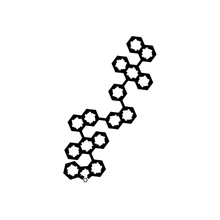 c1cc(-c2cccc3ccc(-c4ccc5cccc(-c6c7ccccc7c(-c7cccc8oc9ccccc9c78)c7ccccc67)c5c4)cc23)cc(-c2c3ccccc3c(-c3cccc4ccccc34)c3ccccc23)c1